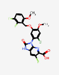 COc1cc(Cl)c(-n2c(=O)[nH]c3cc(F)c(C(=O)O)nc32)cc1OCc1c(OC)ccc(F)c1F